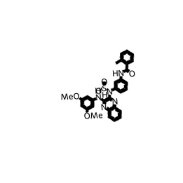 COc1cc(Nc2nc3ccccc3nc2N(c2cccc(NC(=O)c3ccccc3C)c2)[SH](=O)=O)cc(OC)c1